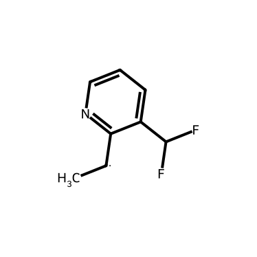 C[CH]c1ncccc1C(F)F